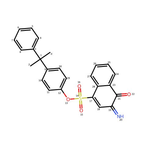 CC(C)(c1ccccc1)c1ccc(OS(=O)(=O)C2=CC(=N)C(=O)c3ccccc32)cc1